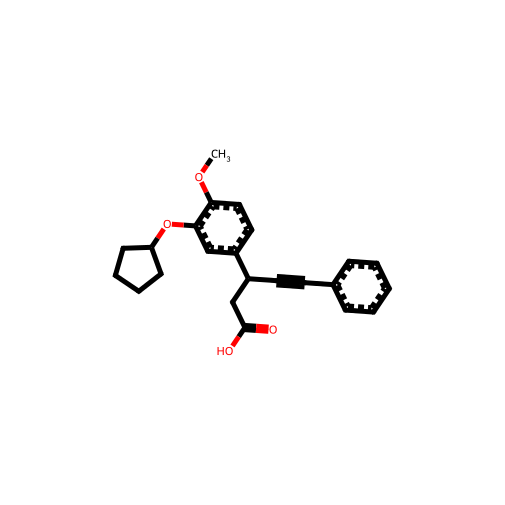 COc1ccc(C(C#Cc2ccccc2)CC(=O)O)cc1OC1CCCC1